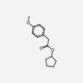 COc1ccc(CC(=O)OC2CCCC2)cc1